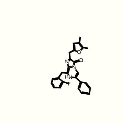 Cc1cc(Cc2nc3c(Cc4ccccc4F)[nH]c(-c4ccccc4)cn-3c2=O)oc1C